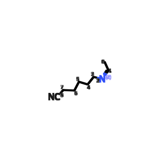 C/C=N\CCCCCC#N